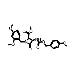 COC(=O)C1C(NC(=O)OCc2ccc(OC)cc2)C(=O)N1Cc1ccc(OC)cc1OC